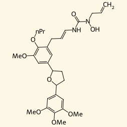 C=CCN(O)C(=O)N/C=C/Cc1cc(C2CCC(c3cc(OC)c(OC)c(OC)c3)O2)cc(OC)c1OCCC